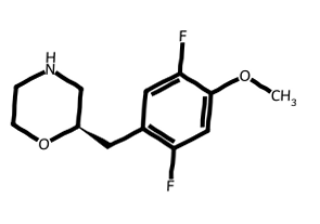 COc1cc(F)c(C[C@@H]2CNCCO2)cc1F